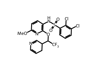 COc1ccc(NS(=O)(=O)c2cccc(Cl)c2Cl)c(OC(C2C=NC=CC2)C(F)(F)F)n1